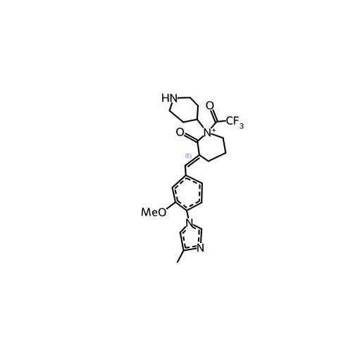 COc1cc(/C=C2\CCC[N+](C(=O)C(F)(F)F)(C3CCNCC3)C2=O)ccc1-n1cnc(C)c1